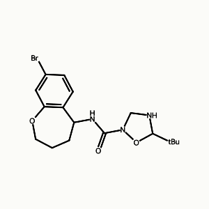 CC(C)(C)C1NCN(C(=O)NC2CCCOc3cc(Br)ccc32)O1